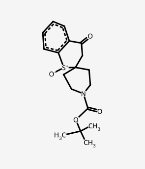 CC(C)(C)OC(=O)N1CCC2(CC1)CC(=O)c1ccccc1[S+]2[O-]